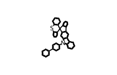 c1ccc(-c2ccc(-n3c4ccccc4c4cc5c(cc43)C3(c4ccccc4Sc4ccccc43)c3ccccc3-5)cc2)cc1